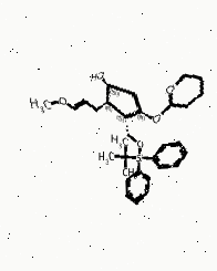 COC=CC[C@@H]1[C@@H](CO[Si](c2ccccc2)(c2ccccc2)C(C)(C)C)[C@H](OC2CCCCO2)C[C@@H]1O